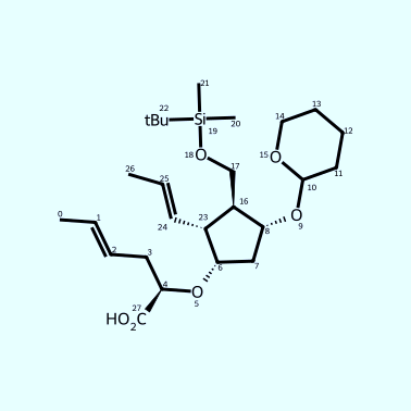 CC=CC[C@@H](O[C@H]1C[C@@H](OC2CCCCO2)[C@H](CO[Si](C)(C)C(C)(C)C)[C@H]1C=CC)C(=O)O